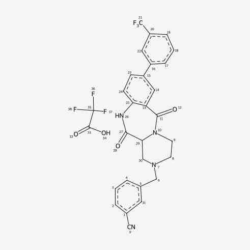 N#Cc1cccc(CN2CCN3C(=O)c4cc(-c5cccc(C(F)(F)F)c5)ccc4NC(=O)C3C2)c1.O=C(O)C(F)(F)F